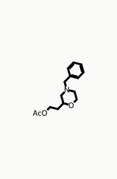 CC(=O)OCCC1CN(Cc2ccccc2)CCO1